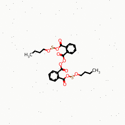 CCCCOSOC(=O)c1ccccc1C(=O)OOC(=O)c1ccccc1C(=O)OSOCCCC